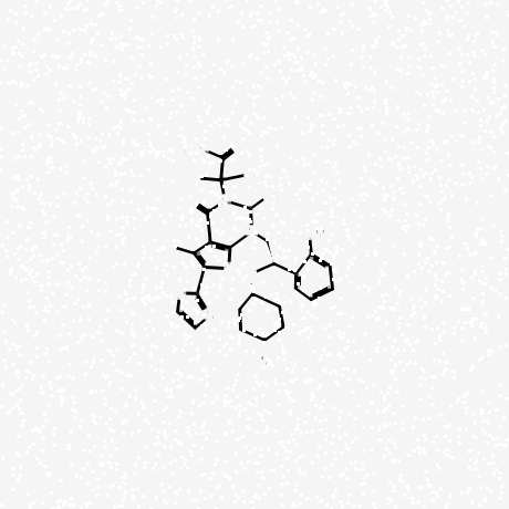 CCC(C)(C(N)=O)N1C(=O)c2c(sc(-c3ncco3)c2C)N(C[C@H](O[C@H]2CC[C@@H](O)CC2)c2ccccc2OC)C1O